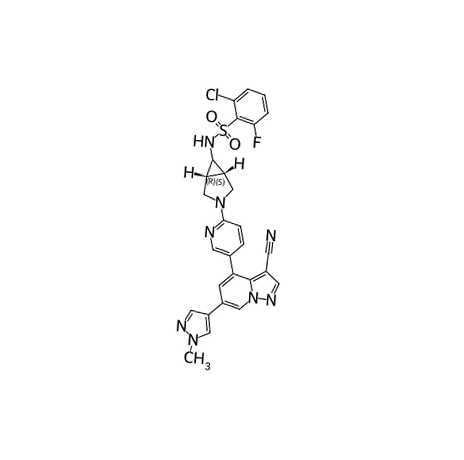 Cn1cc(-c2cc(-c3ccc(N4C[C@@H]5C(NS(=O)(=O)c6c(F)cccc6Cl)[C@@H]5C4)nc3)c3c(C#N)cnn3c2)cn1